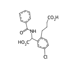 O=C(O)CCCc1ccc(Cl)cc1C(NC(=O)c1ccccc1)C(=O)O